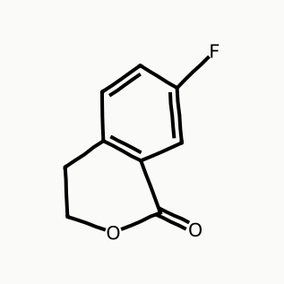 O=C1OCCc2ccc(F)cc21